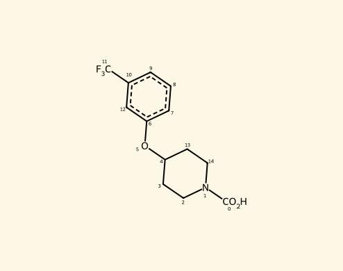 O=C(O)N1CCC(Oc2cccc(C(F)(F)F)c2)CC1